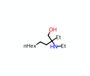 CCCCCCCCC(CC)(CO)NCC